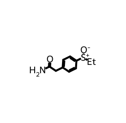 CC[S+]([O-])c1ccc(CC(N)=O)cc1